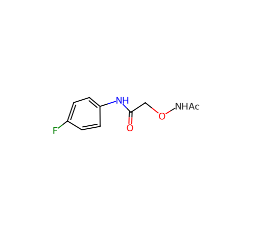 CC(=O)NOCC(=O)Nc1ccc(F)cc1